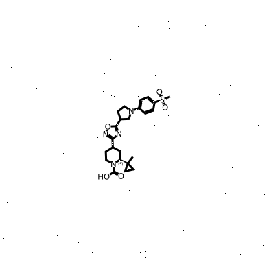 CC1([C@@H]2CC(c3noc(C4CCN(c5ccc(S(C)(=O)=O)cc5)C4)n3)CCN2C(=O)O)CC1